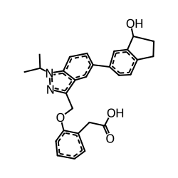 CC(C)n1nc(COc2ccccc2CC(=O)O)c2cc(-c3ccc4c(c3)C(O)CC4)ccc21